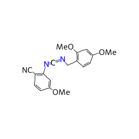 COc1ccc(C#N)c(N=C=NCc2ccc(OC)cc2OC)c1